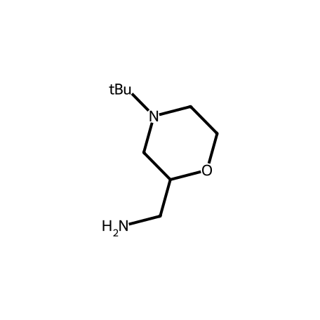 CC(C)(C)N1CCOC(CN)C1